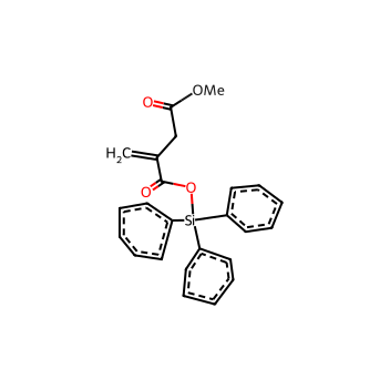 C=C(CC(=O)OC)C(=O)O[Si](c1ccccc1)(c1ccccc1)c1ccccc1